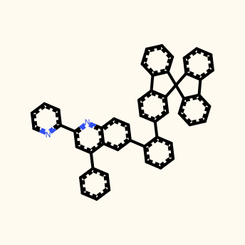 c1ccc(-c2cc(-c3ccccn3)nc3ccc(-c4ccccc4-c4ccc5c(c4)C4(c6ccccc6-c6ccccc64)c4ccccc4-5)cc23)cc1